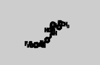 Cc1cccc(N2CCCS/C2=N\C(O)N/C=C/c2ccc(-c3ncn(-c4ccc(OC(F)(F)F)cc4)n3)cc2)c1C(C)C